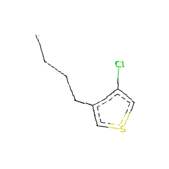 [CH2]CCCc1cscc1Cl